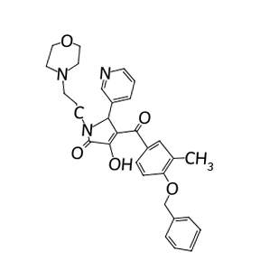 Cc1cc(C(=O)C2=C(O)C(=O)N(CCCN3CCOCC3)C2c2cccnc2)ccc1OCc1ccccc1